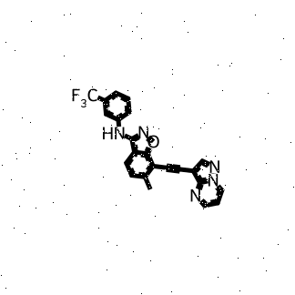 Cc1ccc2c(Nc3cccc(C(F)(F)F)c3)noc2c1C#Cc1cnn2cccnc12